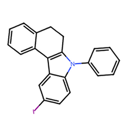 Ic1ccc2c(c1)c1c(n2-c2ccccc2)CCc2ccccc2-1